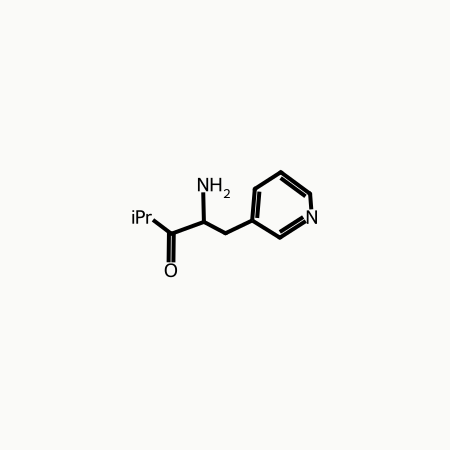 CC(C)C(=O)C(N)Cc1cccnc1